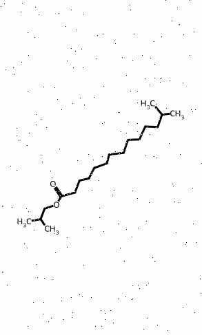 CC(C)CCCCCCCCCCCC(=O)OCC(C)C